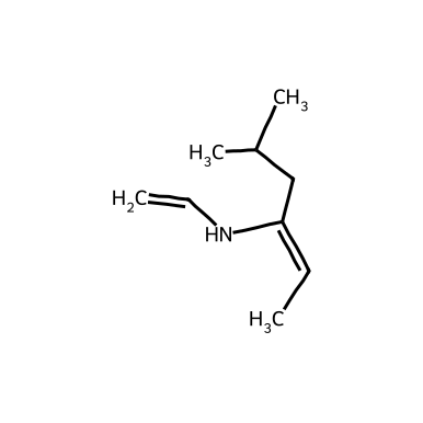 C=CN/C(=C\C)CC(C)C